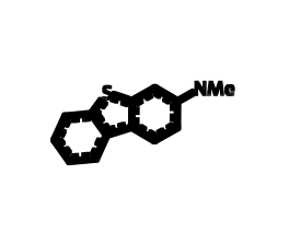 CNc1ccc2c(c1)sc1ccccc12